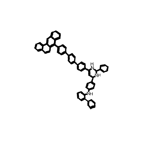 C1=C(c2ccc(-c3ccc(-c4ccc(-c5c6ccccc6cc6c5ccc5ccccc56)cc4)cc3)cc2)NC(c2ccccc2)NC1c1ccc(Nc2ccccc2-c2ccccc2)cc1